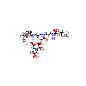 CC(C)(C)OC(=O)NCCCN(CCCNC(=O)OC(C)(C)C)C(=O)CCCC(=O)N(CC(=O)O)CC(=O)O